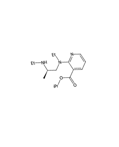 CCN[C@H](C)CN(CC)c1ncccc1C(=O)OC(C)C